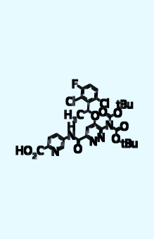 CC(Oc1cc(C(=O)Nc2ccc(C(=O)O)nc2)nnc1N(C(=O)OC(C)(C)C)C(=O)OC(C)(C)C)c1c(Cl)ccc(F)c1Cl